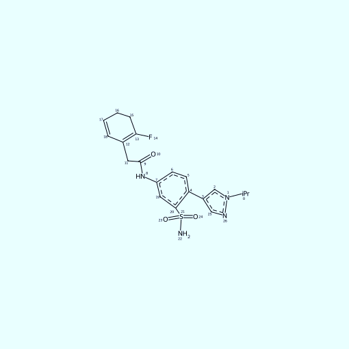 CC(C)n1cc(-c2ccc(NC(=O)CC3=C(F)CCC=C3)cc2S(N)(=O)=O)cn1